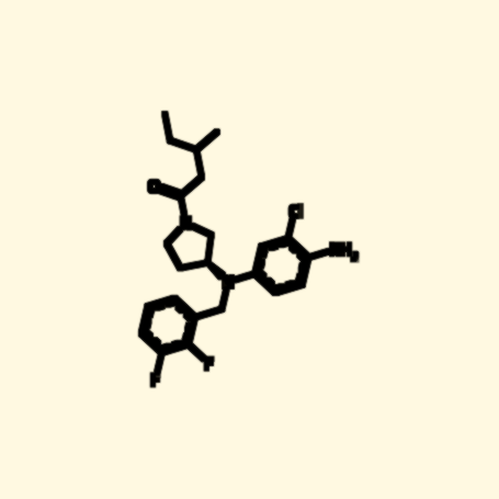 CCC(C)CC(=O)N1CC[C@H](N(Cc2cccc(F)c2F)c2ccc(N)c(Cl)c2)C1